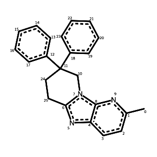 Cc1ccc2nc3n(c2n1)CC(c1ccccc1)(c1ccccc1)CC3